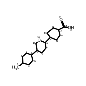 CC1CCC(C2CCC(C3CCC(C(=O)O)CC3)OC2)CC1